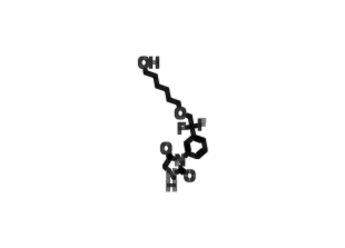 O=C1CNC(=O)N1c1cccc(C(F)(F)COCCCCCCO)c1